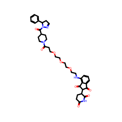 O=C1CCC(C2C(=O)c3cccc(NCCOCCOCCOCCC(=O)N4CCC(C(=O)N5N=CCC5c5ccccc5)CC4)c3C2=O)C(=O)N1